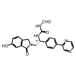 O=CNC(=O)N[C@@H](CN1Cc2ccc(O)cc2C1=O)c1ccc(-c2cnccn2)cc1